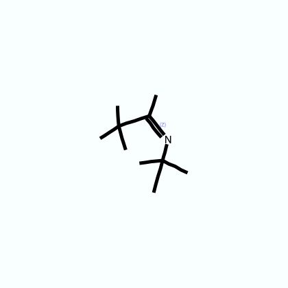 C/C(=N/C(C)(C)C)C(C)(C)C